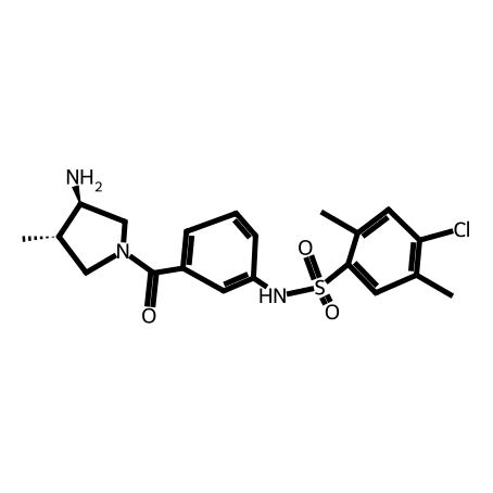 Cc1cc(S(=O)(=O)Nc2cccc(C(=O)N3C[C@H](C)[C@@H](N)C3)c2)c(C)cc1Cl